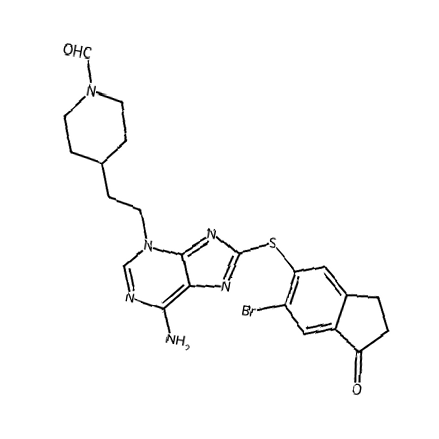 Nc1ncn(CCC2CCN(C=O)CC2)c2nc(Sc3cc4c(cc3Br)C(=O)CC4)nc1-2